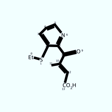 CCSc1cccnc1C(=O)/C(C)=C/C(=O)O